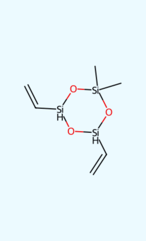 C=C[SiH]1O[SiH](C=C)O[Si](C)(C)O1